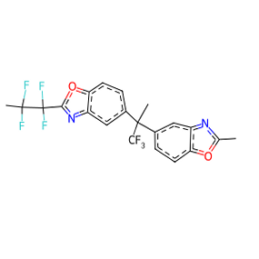 Cc1nc2cc(C(C)(c3ccc4oc(C(F)(F)C(C)(F)F)nc4c3)C(F)(F)F)ccc2o1